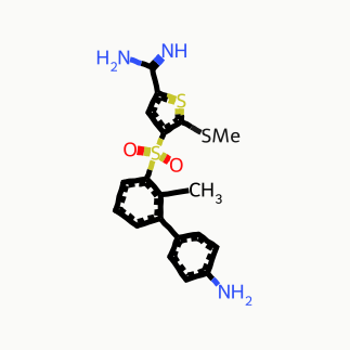 CSc1sc(C(=N)N)cc1S(=O)(=O)c1cccc(-c2ccc(N)cc2)c1C